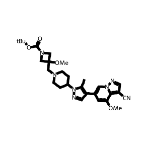 COc1cc(-c2cnn(C3CCN(CC4(OC)CN(C(=O)OC(C)(C)C)C4)CC3)c2C)cn2ncc(C#N)c12